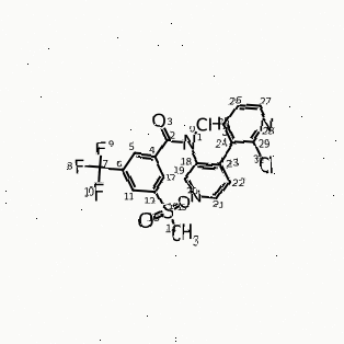 CN(C(=O)c1cc(C(F)(F)F)cc(S(C)(=O)=O)c1)c1cnccc1-c1cccnc1Cl